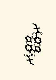 CCC(C)(C)C(=O)Nc1ccc(F)[c]([Ti]([c]2c(F)ccc(NC(=O)C(C)(C)CC)c2F)([CH]2C=CC=C2)[CH]2C=CC=C2)c1F